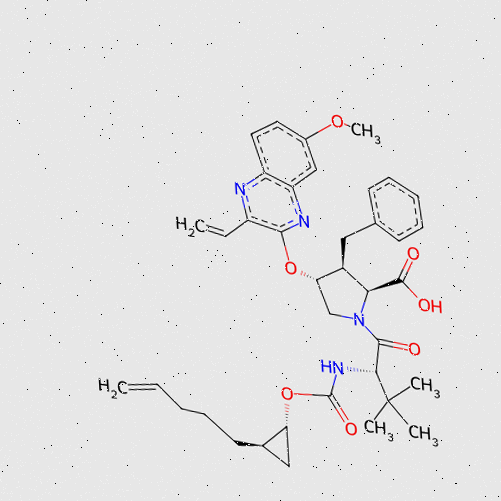 C=CCCC[C@@H]1C[C@H]1OC(=O)N[C@H](C(=O)N1C[C@H](Oc2nc3cc(OC)ccc3nc2C=C)[C@@H](Cc2ccccc2)[C@H]1C(=O)O)C(C)(C)C